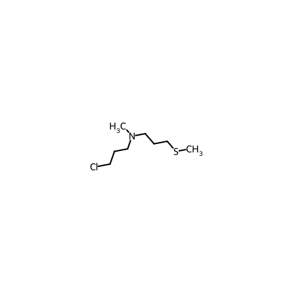 CSCCCN(C)CCCCl